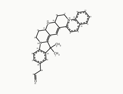 CC1(C)C2=C3C=C4c5ccc6ccccc6[n+]5CCC4OC3CCN2c2ccc(CC=O)cc21